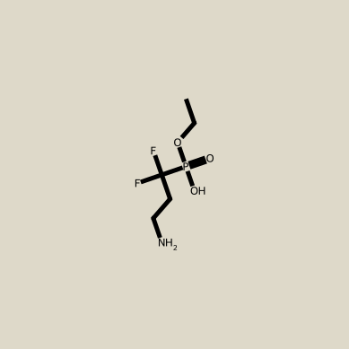 CCOP(=O)(O)C(F)(F)CCN